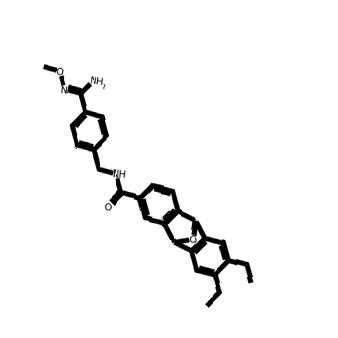 CCc1cc2c(cc1CC)C1OC2c2ccc(C(=O)NCc3ccc(C(N)=NOC)cc3)cc21